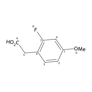 COc1ccc(CC(=O)O)c(F)c1